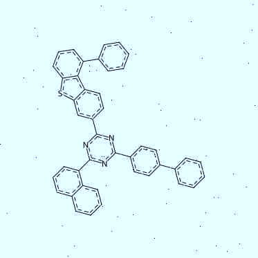 c1ccc(-c2ccc(-c3nc(-c4ccc5c(c4)sc4cccc(-c6ccccc6)c45)nc(-c4cccc5ccccc45)n3)cc2)cc1